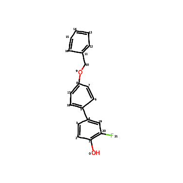 Oc1ccc(-c2ccc(OCc3ccccc3)cc2)cc1F